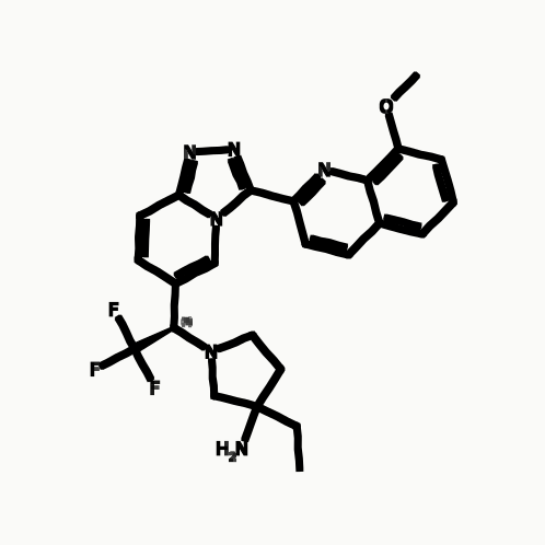 CCC1(N)CCN([C@H](c2ccc3nnc(-c4ccc5cccc(OC)c5n4)n3c2)C(F)(F)F)C1